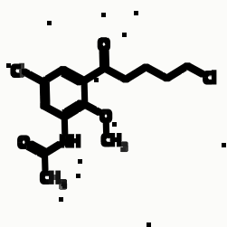 COc1c(NC(C)=O)cc(Cl)cc1C(=O)CCCCCl